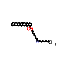 CCCCCCCC/C=C\CCCCCCCCOC(=O)C1CCCC2CC3CC4CC5CC6CC7CCCCC7CC6CC5CC4CC3CC21